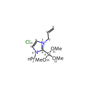 C=CC[n+]1ccn(CCC)c1[Si](OC)(OC)OC.[Cl-]